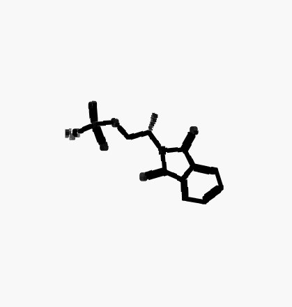 C[C@@H](COS(=O)(=O)C(F)(F)F)N1C(=O)c2ccccc2C1=O